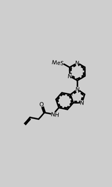 C=CCC(=O)Nc1ccc2c(c1)ncn2-c1ccnc(SC)n1